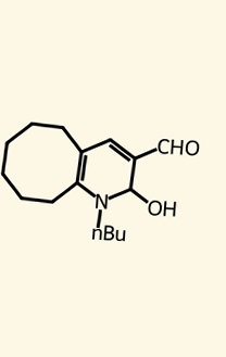 CCCCN1C2=C(C=C(C=O)C1O)CCCCCC2